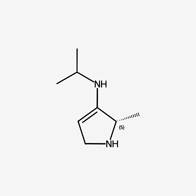 CC(C)NC1=CCN[C@H]1C